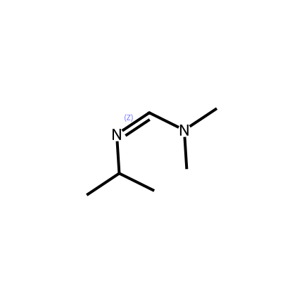 CC(C)/N=C\N(C)C